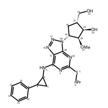 CCCSc1nc(NC2CC2c2ccccc2)c2nnn([C@@H]3C[C@H](CO)[C@@H](O)[C@H]3OC)c2n1